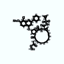 COc1ccc2c(O[C@@H]3C[C@H]4C(=O)N[C@]5(C(=O)NS(=O)(=O)C6CC6)CC5C=CCCCCC[C@H](CC(=O)OC(C)(C)C)C(=O)N4C3)cc(-c3ccccn3)nc2c1Cl